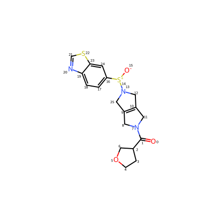 O=C(C1CCOC1)N1CC2=C(C1)CN([S+]([O-])c1ccc3ncsc3c1)C2